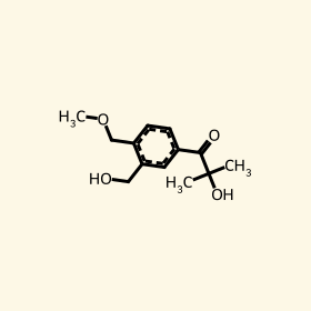 COCc1ccc(C(=O)C(C)(C)O)cc1CO